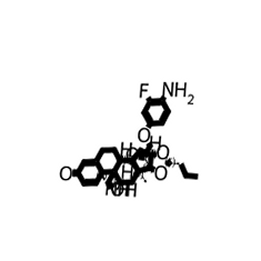 CCC[C@H]1O[C@@H]2C[C@H]3[C@@H]4CCC5=CC(=O)C=C[C@]5(C)C4(C=N)[C@@H](O)C[C@]3(C)[C@]2(C(=O)COc2ccc(N)c(F)c2)O1